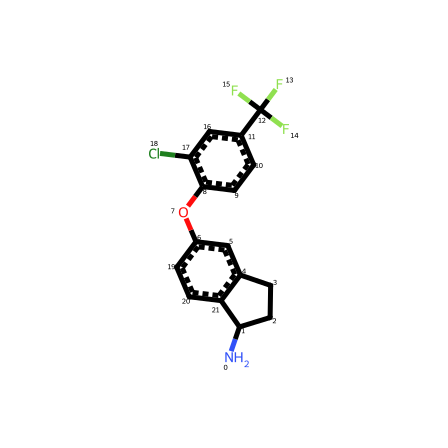 NC1CCc2cc(Oc3ccc(C(F)(F)F)cc3Cl)ccc21